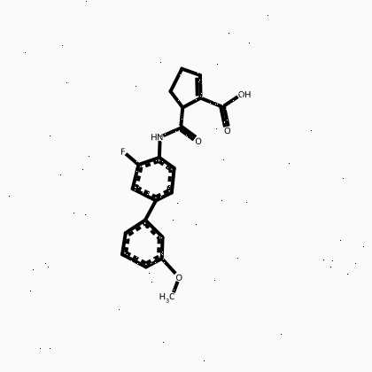 COc1cccc(-c2ccc(NC(=O)C3CCC=C3C(=O)O)c(F)c2)c1